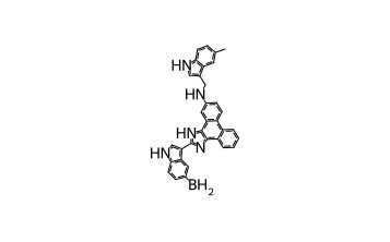 Bc1ccc2[nH]cc(-c3nc4c5ccccc5c5ccc(NCc6c[nH]c7ccc(C)cc67)cc5c4[nH]3)c2c1